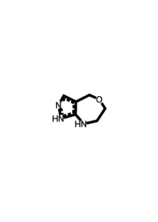 c1n[nH]c2c1COCCN2